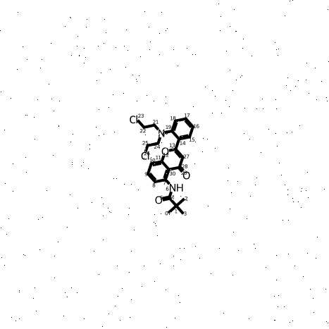 CC(C)(C)C(=O)Nc1cccc2oc(-c3ccccc3N(CCCl)CCCl)cc(=O)c12